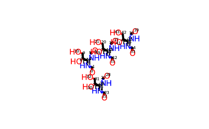 O=C[NH][Hf]([NH]C=O)[CH](O)CO.O=C[NH][Hf]([NH]C=O)[CH](O)CO.O=C[NH][Hf]([NH]C=O)[CH](O)CO.O=C[NH][Hf]([NH]C=O)[CH](O)CO